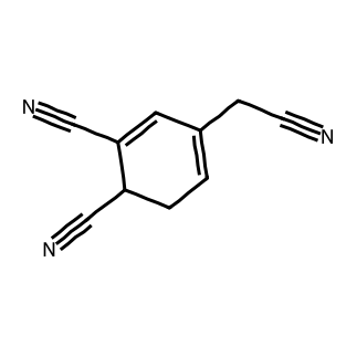 N#CCC1=CCC(C#N)C(C#N)=C1